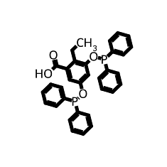 CCc1c(OP(c2ccccc2)c2ccccc2)cc(OP(c2ccccc2)c2ccccc2)cc1C(=O)O